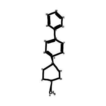 C[C@H]1CC[C@@H](c2ccc(-c3ccccc3)cc2)CC1